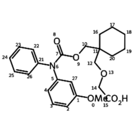 COc1cccc(N(C(=O)OCC2(COCC(=O)O)CCCCC2)c2ccccc2)c1